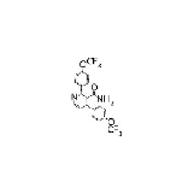 NC(=O)c1c(-c2ccc(OC(F)(F)F)cc2)ccnc1-c1ccc(OC(F)(F)F)cc1